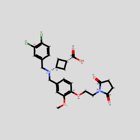 COc1cc(CN(Cc2ccc(Cl)c(Cl)c2)[C@H]2C[C@@H](C(=O)O)C2)ccc1OCCN1C(=O)CCC1=O